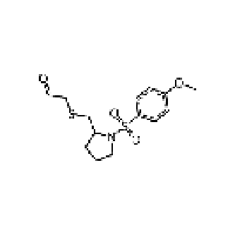 COc1ccc(S(=O)(=O)N2CCCC2CSCC=O)cc1